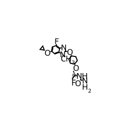 Cn1c(OC2CCC(OC[C@H](CF)NC(N)=O)CC2)nc2c(F)cc(OC3CC3)cc21